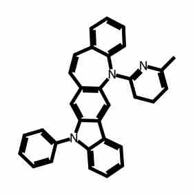 CC1=CCCC(N2c3ccccc3C=Cc3cc4c(cc32)c2ccccc2n4-c2ccccc2)=N1